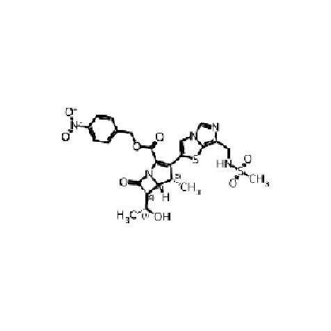 C[C@@H](O)[C@H]1C(=O)N2C(C(=O)OCc3ccc([N+](=O)[O-])cc3)=C(c3cn4cnc(CNS(C)(=O)=O)c4s3)[C@H](C)[C@H]12